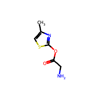 Cc1csc(OC(=O)CN)n1